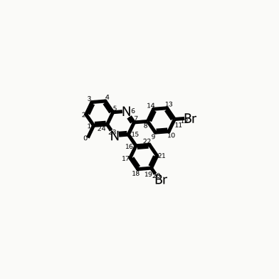 Cc1cccc2nc(-c3ccc(Br)cc3)c(-c3ccc(Br)cc3)nc12